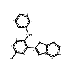 Cc1ccc(Nc2ccccc2)c(C2=Cc3ccccc3C2)c1